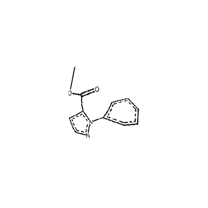 COC(=O)c1ccnn1-c1ccccc1